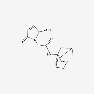 O=C(CN1C(=O)C=CC1O)NC12CC3CC(CC(C3)O1)C2